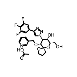 CC(=O)O.OC[C@H]1O[C@@]2(CCCO2)[C@H](OCc2cccnc2)[C@@H](n2cc(-c3cc(F)c(F)c(F)c3)nn2)[C@H]1O